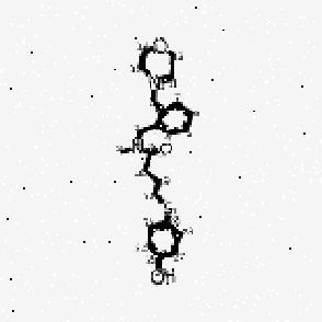 CN(Cc1ccccc1CN1CCOCC1)C(=O)CCCSc1ccc(O)cc1